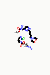 CC(C)(C)OC(=O)N1C=CC=NC1Cl.CC(C)(C)OC(=O)NCc1ccnc(CCCCN2CCOCC2)n1.CN